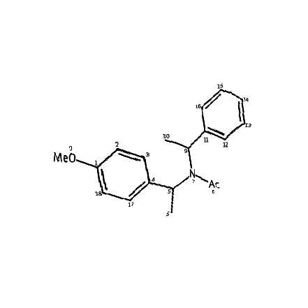 COc1ccc(C(C)N(C(C)=O)C(C)c2ccccc2)cc1